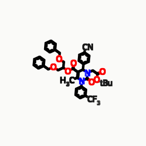 CC1=C(C(=O)OC(COCc2ccccc2)COCc2ccccc2)C(c2ccc(C#N)cc2)N(CC(=O)OC(C)(C)C)C(=O)N1c1cccc(C(F)(F)F)c1